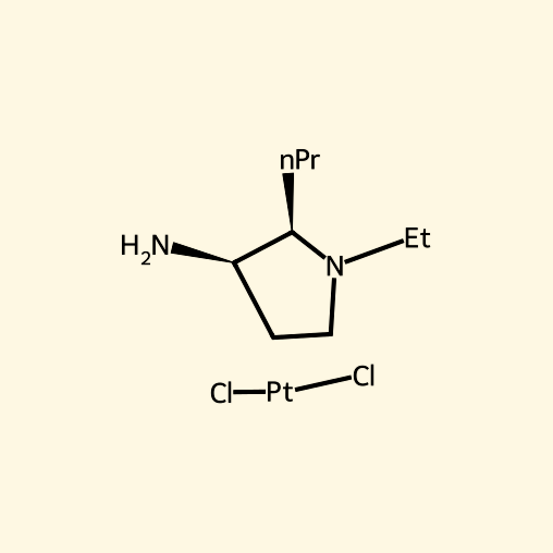 CCC[C@@H]1[C@H](N)CCN1CC.[Cl][Pt][Cl]